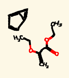 C=C(OCC)C(=O)OCC.c1cc2cc-2c1